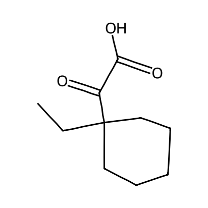 CCC1(C(=O)C(=O)O)CCCCC1